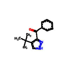 CC(C)(C)c1c[nH]nc1C(=O)c1ccccc1